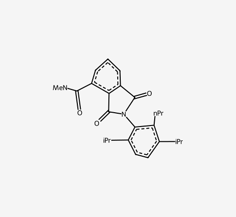 CCCc1c(C(C)C)ccc(C(C)C)c1N1C(=O)c2cccc(C(=O)NC)c2C1=O